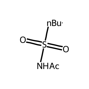 CCC[CH]S(=O)(=O)NC(C)=O